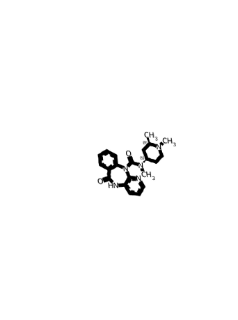 C[C@@H]1C[C@@H](N(C)C(=O)N2c3ccccc3C(=O)Nc3cccnc32)CCN1C